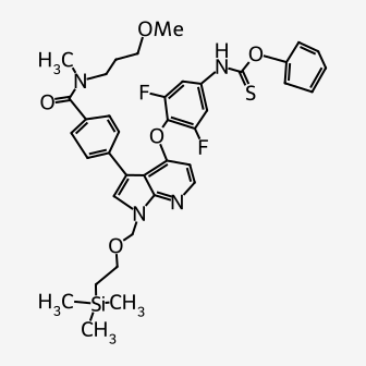 COCCCN(C)C(=O)c1ccc(-c2cn(COCC[Si](C)(C)C)c3nccc(Oc4c(F)cc(NC(=S)Oc5ccccc5)cc4F)c23)cc1